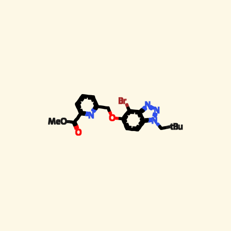 COC(=O)c1cccc(COc2ccc3c(nnn3CC(C)(C)C)c2Br)n1